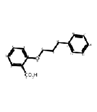 O=C(O)c1ccccc1OCCCc1ccccc1